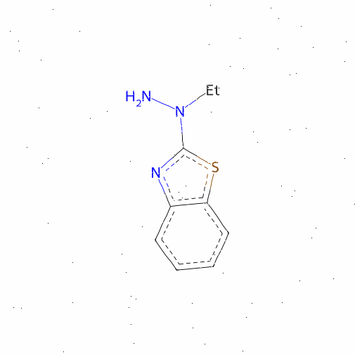 CCN(N)c1nc2ccccc2s1